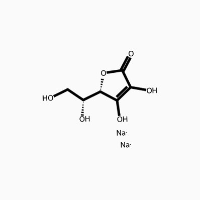 O=C1O[C@@H]([C@H](O)CO)C(O)=C1O.[Na].[Na]